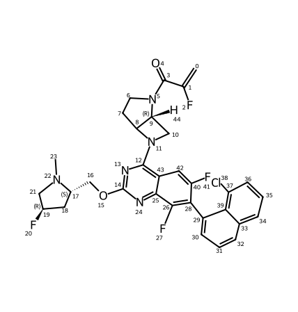 C=C(F)C(=O)N1CCC2[C@H]1CN2c1nc(OC[C@@H]2C[C@@H](F)CN2C)nc2c(F)c(-c3cccc4cccc(Cl)c34)c(F)cc12